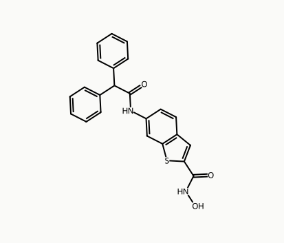 O=C(NO)c1cc2ccc(NC(=O)C(c3ccccc3)c3ccccc3)cc2s1